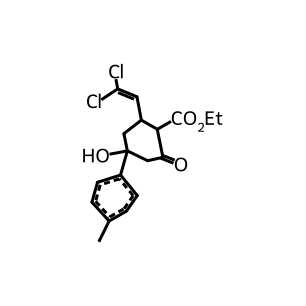 CCOC(=O)C1C(=O)CC(O)(c2ccc(C)cc2)CC1C=C(Cl)Cl